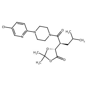 CC(C)C[C@H](C(=O)N1CCN(c2ccc(Cl)cn2)CC1)[C@H]1OC(C)(C)OC1=O